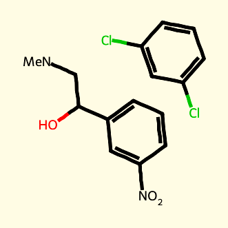 CNCC(O)c1cccc([N+](=O)[O-])c1.Clc1cccc(Cl)c1